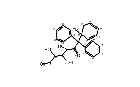 O=C(C(O)C(O)C(O)CO)C(c1ccccc1)(c1ccccc1)C1(Cl)C=CC=CC1